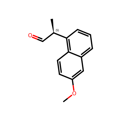 COc1ccc2c([C@H](C)C=O)cccc2c1